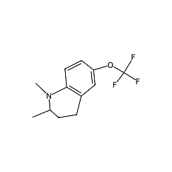 CC1CCc2cc(OC(F)(F)F)ccc2N1C